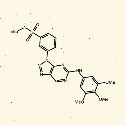 CCCCNS(=O)(=O)c1cccc(-n2nnc3cnc(Nc4cc(OC)c(OC)c(OC)c4)nc32)c1